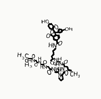 CCCCC(NC(=O)C1CCCN1C(=O)CNC(=O)CNC(=O)CNC(=O)CNC(=O)C(C)C)C(=O)NCC(=O)NC(C=O)CCCCNC(=O)c1ccc2c(c1)C(=O)OC21c2ccc(O)cc2Oc2cc(O)ccc21